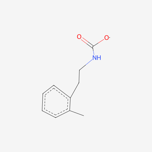 Cc1ccccc1CCNC([O])=O